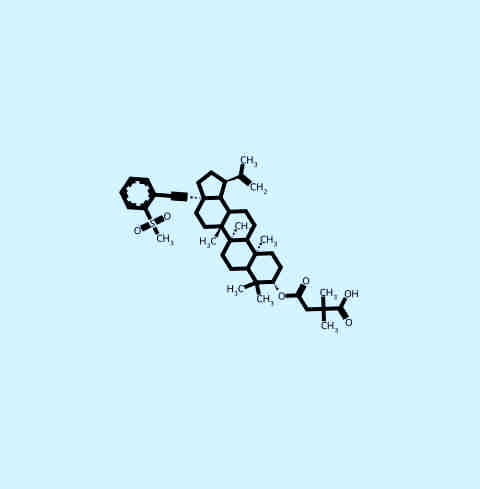 C=C(C)[C@@H]1CC[C@]2(C#Cc3ccccc3S(C)(=O)=O)CC[C@]3(C)C(CCC4[C@@]5(C)CC[C@H](OC(=O)CC(C)(C)C(=O)O)C(C)(C)C5CC[C@]43C)C12